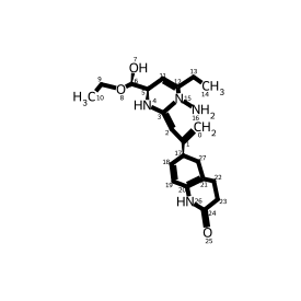 C=C(/C=C1/N[C@@H]([C@H](O)OCC)C=C(CC)N1N)[C@@H]1C=CC2=C(CCC(=O)N2)C1